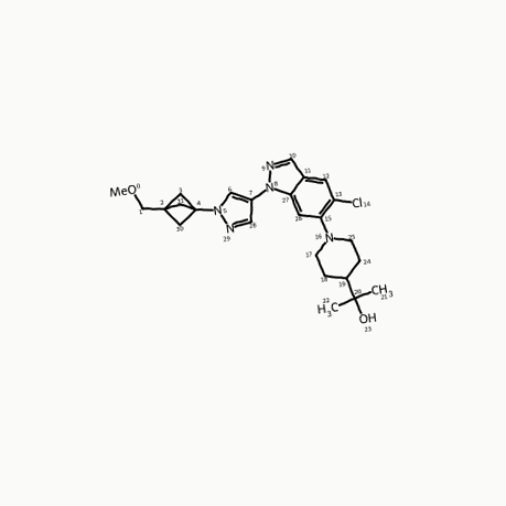 COCC12CC(n3cc(-n4ncc5cc(Cl)c(N6CCC(C(C)(C)O)CC6)cc54)cn3)(C1)C2